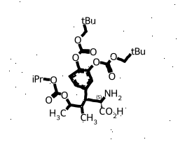 CC(C)OC(=O)OC(C)C(C)C(c1ccc(OC(=O)OCC(C)(C)C)c(OC(=O)OCC(C)(C)C)c1)[C@H](N)C(=O)O